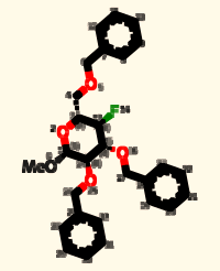 CO[C@H]1O[C@H](COCc2ccccc2)[C@@H](F)[C@H](OCc2ccccc2)[C@H]1OCc1ccccc1